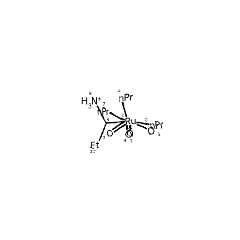 CC[CH2][Ru](=[O])(=[O])(=[O])([O-])([CH2]CC)([CH2]CC)[CH]([NH3+])CC